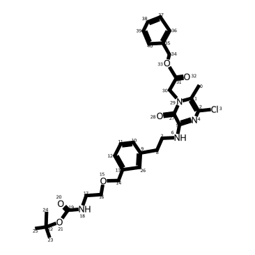 Cc1c(Cl)nc(NCCc2cccc(COCCNC(=O)OC(C)(C)C)c2)c(=O)n1CC(=O)OCc1ccccc1